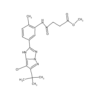 COC(=O)CCC(=O)Nc1cc(-c2nn3nc(C(C)(C)C)c(Cl)c3[nH]2)ccc1C